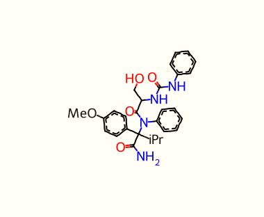 COc1ccc(C(C(N)=O)(C(C)C)N(C(=O)C(CO)NC(=O)Nc2ccccc2)c2ccccc2)cc1